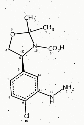 CC1(C)OC[C@H](c2ccc(Cl)c(NN)c2)N1C(=O)O